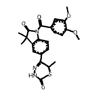 COc1ccc(C(=O)N2C(=O)C(C)(C)c3cc(C4=NNC(=O)SC4C)ccc32)cc1OC